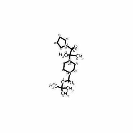 CC(C)(C)OC(=O)N1CCN(C(C)(C)C(=O)N2CCCC2)CC1